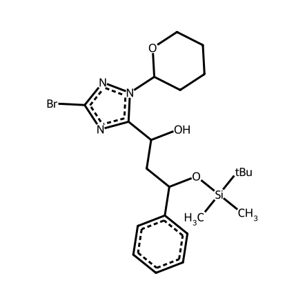 CC(C)(C)[Si](C)(C)OC(CC(O)c1nc(Br)nn1C1CCCCO1)c1ccccc1